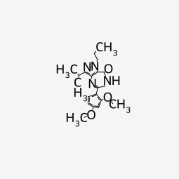 CCCn1nc(C(C)C)c2c1C(=O)NCC(c1ccc(OC)cc1OC)=N2